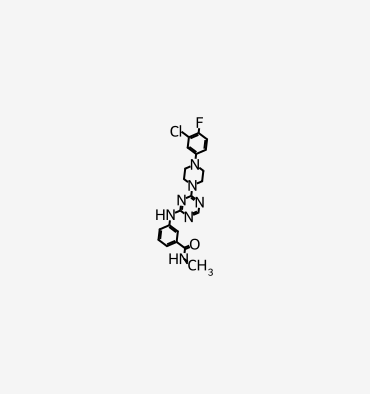 CNC(=O)c1cccc(Nc2ncnc(N3CCN(c4ccc(F)c(Cl)c4)CC3)n2)c1